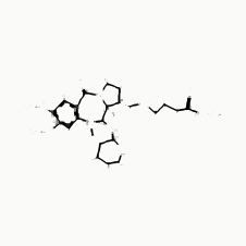 COC(=O)CCCOC[C@@H]1CCN2C(=O)c3cc(OC)c(OC)cc3N(C)C(OC3CCCCO3)[C@H]12